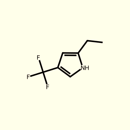 CCc1cc(C(F)(F)F)c[nH]1